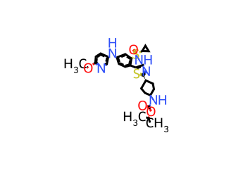 COc1ccc(Nc2ccc(-c3cnc([C@H]4CC[C@H](NC(=O)OC(C)C)CC4)s3)c(S(=N)(=O)C3CC3)c2)cn1